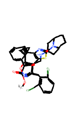 COC(=O)c1cc2sc(N3C4CCC3CC(NCc3c(-c5c(Cl)cccc5Cl)noc3C3CC3)C4)nc2c2ccccc12